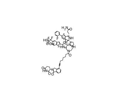 NC(=O)CC[C@H](NC(=O)[C@@H]1CC[C@@H]2CCN(C(=O)CCCCCC#Cc3cccc4c3CN(C3CCC(=O)NC3=O)C4=O)C[C@H](NC(=O)c3cc4cc(C(F)(F)P(=O)(O)O)ccc4s3)C(=O)N21)c1ncc(-c2ccccc2F)s1